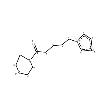 O=C(CCCCn1c[c]nc1)N1CCSCC1